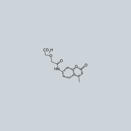 Cc1cc(=O)oc2cc(NC(=O)COCC(=O)O)ccc12